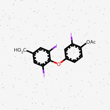 CC(=O)Oc1ccc(Oc2c(I)cc(C(=O)O)cc2I)cc1I